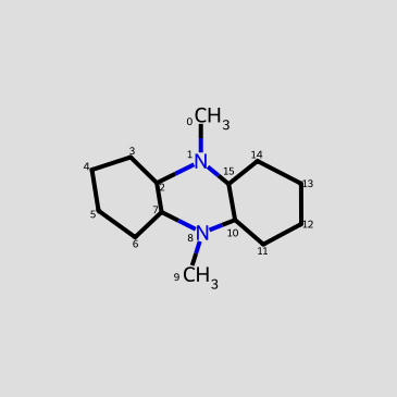 CN1C2CCCCC2N(C)C2CCCCC21